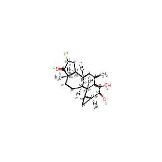 C=C1C[C@H]2[C@@H]3C[C@H](F)C(=O)[C@@]3(C)CC[C@@H]2[C@]2(C)C1=C(O)C(=O)[C@H]1CC12